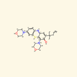 CC(C)CC(C)(C)c1cc2nc3ccc(N4CCOCC4)cc3sc-2c(N2CCOCC2)c1=O